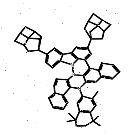 Cc1cc2c(cc1N1c3cc4ccccc4c4c3B(c3ccc5ccccc5c31)n1c3ccc(C56CC7CC8CC(C5)C87C6)cc3c3cc(C56CC7CC8CC(C5)C87C6)cc-4c31)C(C)(C)CCC2(C)C